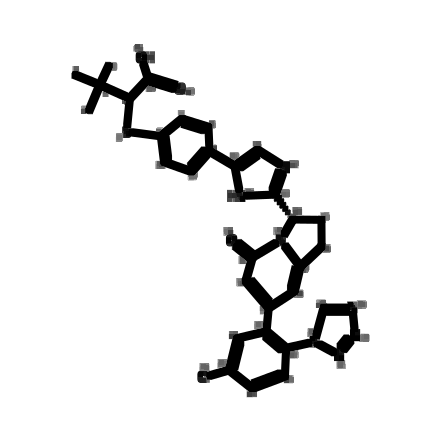 CC(C)(C)C(Sc1ccc(-c2cnc([C@@H]3CCc4cc(-c5cc(Cl)ccc5-n5cnnn5)cc(=O)n43)[nH]2)cc1)C(=O)O